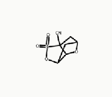 N#CC12CC3CC(OS1(=O)=O)C2O3